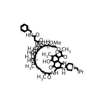 CO[C@H]1/C=C/O[C@@]2(C)Oc3c(C)c(O)c4c(c3C2=O)C2=NC3(CCN(CC(C)C)CC3)NC2=C(NC(=O)/C(C)=C\C=C\[C@H](C)[C@H](O)[C@@H](C)[C@@H](O)[C@@H](C)[C@H](OC(=O)CC(=O)NCc2ccccc2)[C@@H]1C)C4=O